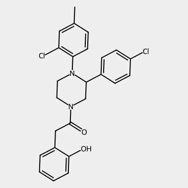 Cc1ccc(N2CCN(C(=O)Cc3ccccc3O)CC2c2ccc(Cl)cc2)c(Cl)c1